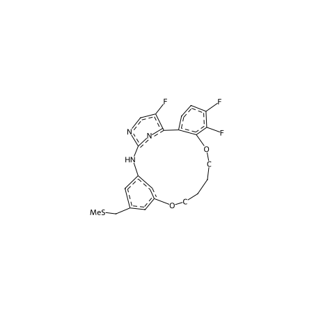 CSCc1cc2cc(c1)OCCCCOc1c(ccc(F)c1F)-c1nc(ncc1F)N2